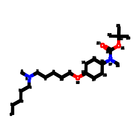 CCCCCN(C)CCCCCOC1CCC(N(C)C(=O)OC(C)(C)C)CC1